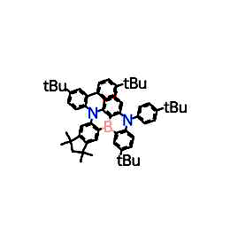 Cc1cc2c3c(c1)N(c1ccc(C(C)(C)C)cc1-c1ccc(C(C)(C)C)cc1)c1cc4c(cc1B3c1cc(C(C)(C)C)ccc1N2c1ccc(C(C)(C)C)cc1)C(C)(C)CC4(C)C